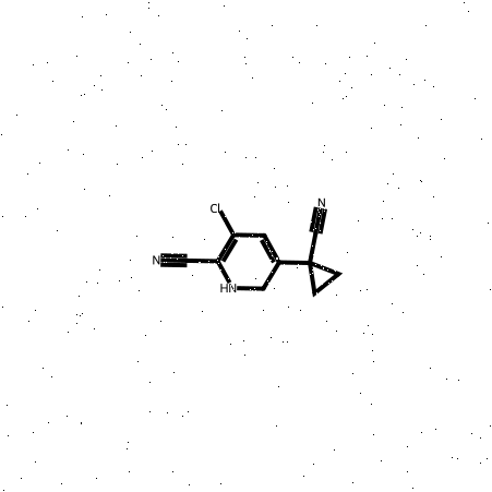 N#CC1=C(Cl)C=C(C2(C#N)CC2)CN1